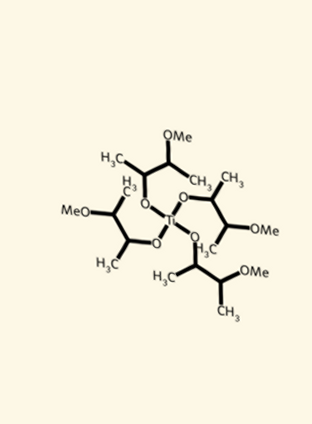 COC(C)C(C)[O][Ti]([O]C(C)C(C)OC)([O]C(C)C(C)OC)[O]C(C)C(C)OC